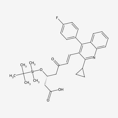 CC(C)(C)[Si](C)(C)O[C@@H](CC(=O)O)CC(=O)C=Cc1c(C2CC2)nc2ccccc2c1-c1ccc(F)cc1